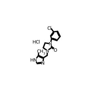 Cc1[nH]cnc1CN1CCN(c2cccc(Cl)c2)C1=O.Cl